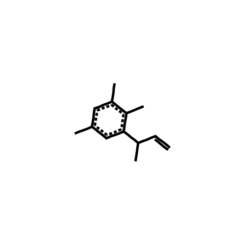 C=C[C](C)c1cc(C)cc(C)c1C